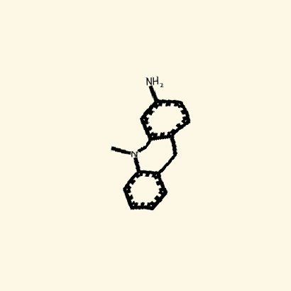 CN1c2ccccc2Cc2ccc(N)cc21